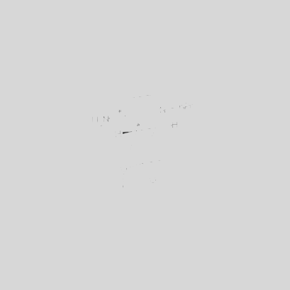 CCCN1CC[C@@H](N)[C@H]2CC3(CC[C@@H]21)OCCO3